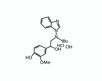 CCC(C)N(CC(O)c1ccc(O)c(OC)c1)n1cnc2ccccc21.Cl.Cl